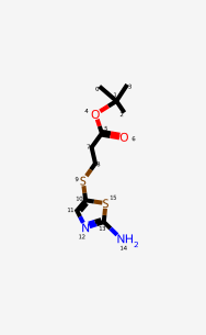 CC(C)(C)OC(=O)CCSc1cnc(N)s1